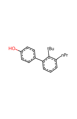 CCCc1cccc(-c2ccc(O)cc2)c1C(C)(C)C